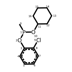 CP(Oc1ccccc1Cl)OC1CCCCC1